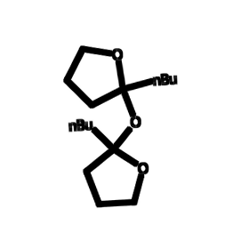 CCCCC1(OC2(CCCC)CCCO2)CCCO1